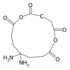 NC1(N)CCC(=O)OC(=O)CCC(=O)OC(=O)CC1